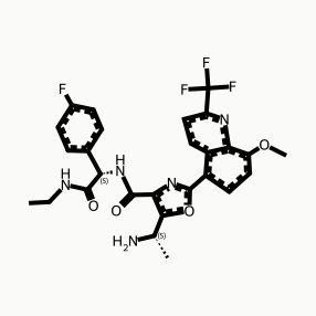 CCNC(=O)[C@@H](NC(=O)c1nc(-c2ccc(OC)c3nc(C(F)(F)F)ccc23)oc1[C@H](C)N)c1ccc(F)cc1